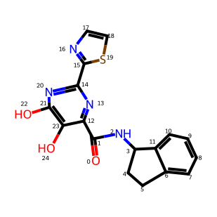 O=C(NC1CCc2ccccc21)c1nc(-c2nccs2)nc(O)c1O